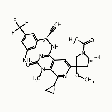 C#C[C@@H](Nc1nc(=O)n(C)c2c(C3CC3)nc(C3(OC)C[C@@H](I)N(C(C)=O)C3)cc12)c1cc(N)cc(C(F)(F)F)c1